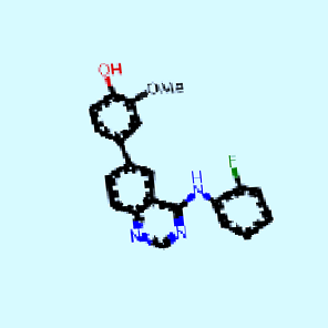 COc1cc(-c2ccc3ncnc(Nc4ccccc4F)c3c2)ccc1O